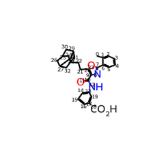 Cc1ccccc1-c1nc(C(=O)Nc2cccc(C(=O)O)c2)c(CCC23CC4CC(CC(C4)C2)C3)o1